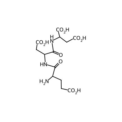 NC(CCC(=O)O)C(=O)NC(CC(=O)O)C(=O)NC(CC(=O)O)C(=O)O